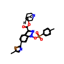 Cc1ccc(S(=O)(=O)On2nc(C(=O)O[C@@H]3CN4CCC3CC4)c3ccc(-c4ncc(C)s4)cc32)cc1